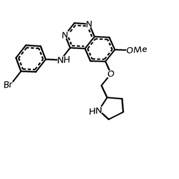 COc1cc2ncnc(Nc3cccc(Br)c3)c2cc1OCC1CCCN1